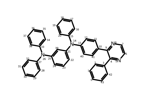 c1ccc(-c2nccnc2-c2ccc(N(c3ccccc3)c3cccc(N(c4ccccc4)c4ccccc4)c3)cc2)cc1